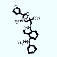 C=Cc1c(NCC(O)(CN(CC)C(=O)c2ccsc2)C(F)(F)F)cccc1N(N)c1ccccc1